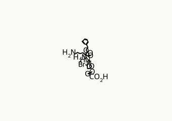 NCCCC[C@](N)(C(=O)NCN1OC(OC(=O)C(=O)O)CC1Br)C(=O)OCc1ccccc1